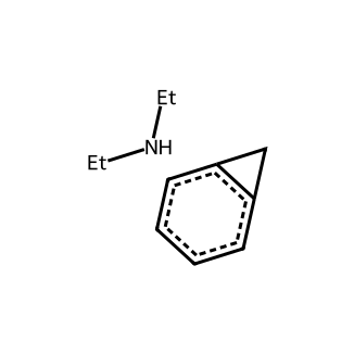 CCNCC.c1ccc2c(c1)C2